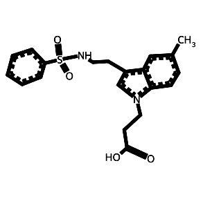 Cc1ccc2c(c1)c(CCNS(=O)(=O)c1ccccc1)cn2CCC(=O)O